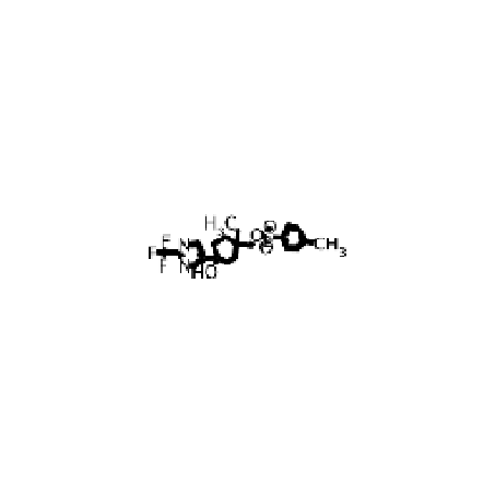 CCC1(COS(=O)(=O)c2ccc(C)cc2)CCC(O)(c2cnc(C(F)(F)F)nc2)CC1